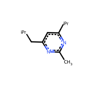 Cc1nc(CC(C)C)cc(C(C)C)n1